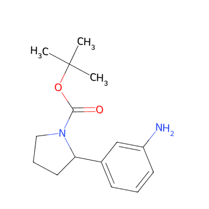 CC(C)(C)OC(=O)N1CCCC1c1cccc(N)c1